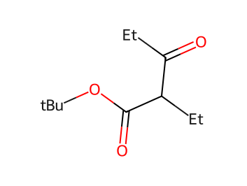 CCC(=O)C(CC)C(=O)OC(C)(C)C